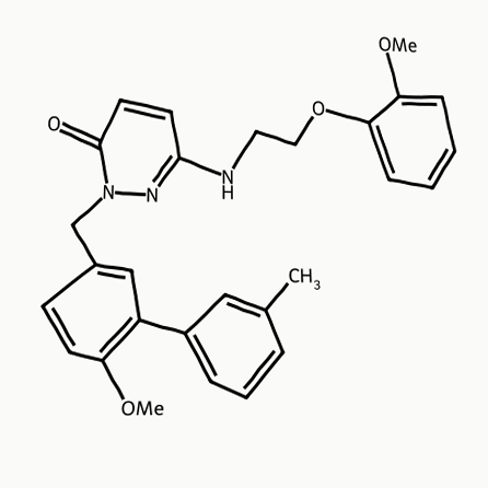 COc1ccccc1OCCNc1ccc(=O)n(Cc2ccc(OC)c(-c3cccc(C)c3)c2)n1